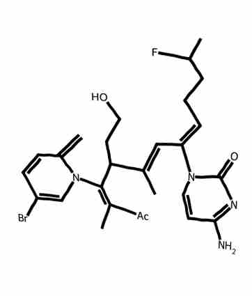 C=C1C=CC(Br)=CN1/C(=C(\C)C(C)=O)C(CCO)/C(C)=C/C(=C\CCC(C)F)n1ccc(N)nc1=O